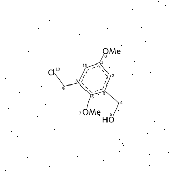 COc1cc(CO)c(OC)c(CCl)c1